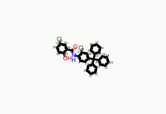 O=C(Nc1ccc(C(c2ccccc2)(c2ccccc2)c2ccccc2)cc1Cl)c1cc(Cl)ccc1O